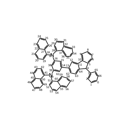 c1ccc(C2c3ccccc3-c3cc(-c4cc(N(c5cccc6ccccc56)c5cccc6ccccc56)cc(N(c5cccc6ccccc56)c5cccc6ccccc56)c4)ccc32)cc1